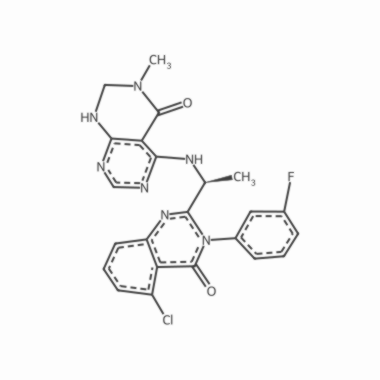 C[C@H](Nc1ncnc2c1C(=O)N(C)CN2)c1nc2cccc(Cl)c2c(=O)n1-c1cccc(F)c1